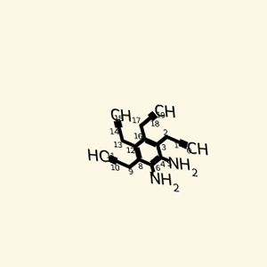 C#CCc1c(N)c(N)c(CC#C)c(CC#C)c1CC#C